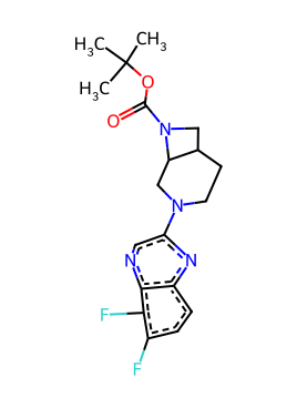 CC(C)(C)OC(=O)N1CC2CCN(c3cnc4c(F)c(F)ccc4n3)CC21